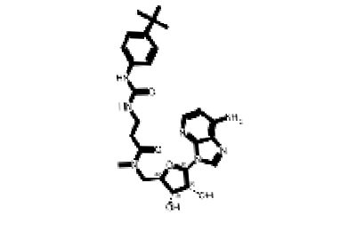 CN(C[C@H]1O[C@@H](n2cnc3c(N)ccnc32)[C@H](O)[C@@H]1O)C(=O)CCNC(=O)Nc1ccc(C(C)(C)C)cc1